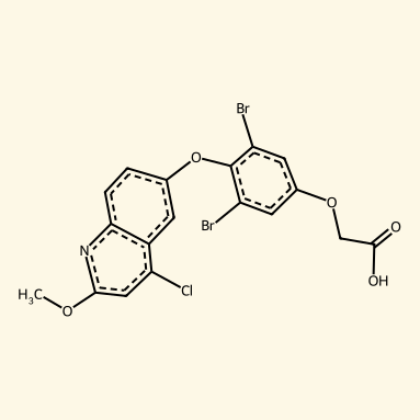 COc1cc(Cl)c2cc(Oc3c(Br)cc(OCC(=O)O)cc3Br)ccc2n1